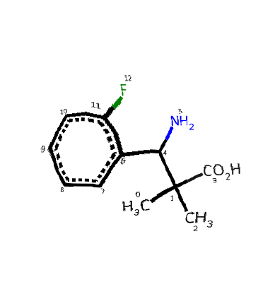 CC(C)(C(=O)O)C(N)c1ccccc1F